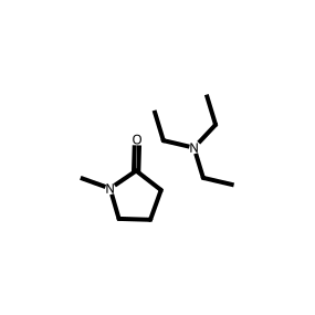 CCN(CC)CC.CN1CCCC1=O